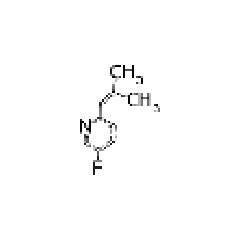 CC(C)=Cc1ccc(F)cn1